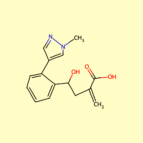 C=C(CC(O)c1ccccc1-c1cnn(C)c1)C(=O)O